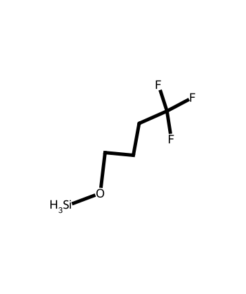 FC(F)(F)CCCO[SiH3]